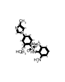 COc1cccc(N)c1NS(=O)(=O)c1ccc(-n2cnc(C)c2)cc1C.Cl